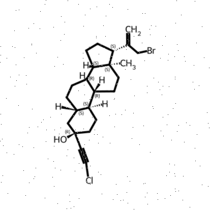 C=C(CBr)[C@H]1CC[C@H]2[C@@H]3CC[C@H]4C[C@@](O)(C#CCl)CC[C@@H]4[C@H]3CC[C@]12C